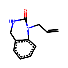 C=CCN1C(=O)NCc2ccccc21